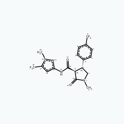 CN1C[C@@H](c2ccc(C(F)(F)F)cc2)[C@H](C(=O)Nc2cc(C(F)(F)F)n(C)n2)C1=O